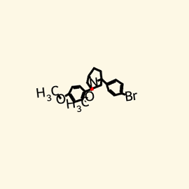 COc1ccc(CN2C3CCC2(c2ccc(Br)cc2)CC(OC)C3)cc1